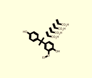 C=CC(=O)O.C=CC(=O)O.C=CC(=O)O.C=CC(=O)O.CCOc1cc(C(C)(C)c2ccc(O)cc2)ccc1O